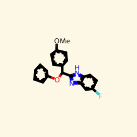 COc1ccc(C(Oc2ccccc2)c2nc3cc(F)ccc3[nH]2)cc1